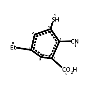 CCc1cc(S)c(C#N)c(C(=O)O)c1